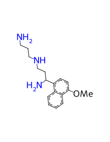 COc1ccc(C(N)CCNCCCN)c2ccccc12